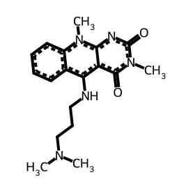 CN(C)CCCNc1c2c(=O)n(C)c(=O)nc-2n(C)c2ccccc12